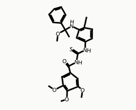 COc1cc(C(=O)NC(=S)Nc2ccc(C)c(NC(C)(OC)c3ccccc3)c2)cc(OC)c1OC